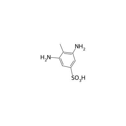 Cc1c(N)cc(S(=O)(=O)O)cc1N